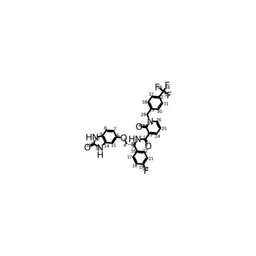 O=C(N[C@@H](COc1ccc2[nH]c(=O)[nH]c2c1)c1ccc(F)cc1)c1cccn(Cc2ccc(C(F)(F)F)cc2)c1=O